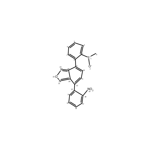 C[S+]([O-])c1ccccc1-c1ccc(-c2ccccc2[N+](=O)[O-])c2nonc12